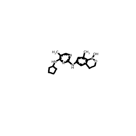 Cc1cnc(Nc2cc(C)c3c(c2)CCOB3O)nc1NC1CCCC1